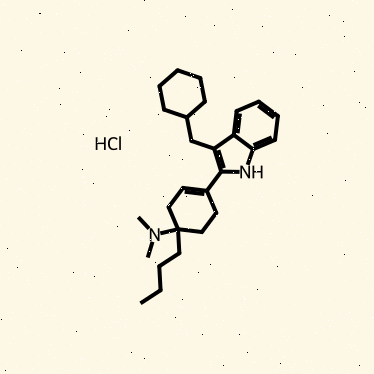 CCCCC1(N(C)C)CC=C(c2[nH]c3ccccc3c2CC2CCCCC2)CC1.Cl